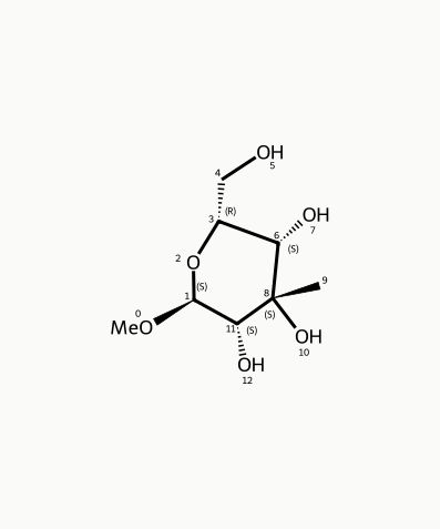 CO[C@H]1O[C@H](CO)[C@H](O)[C@](C)(O)[C@@H]1O